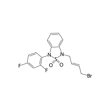 O=S1(=O)N(CC=CCBr)c2ccccc2N1c1ccc(F)cc1F